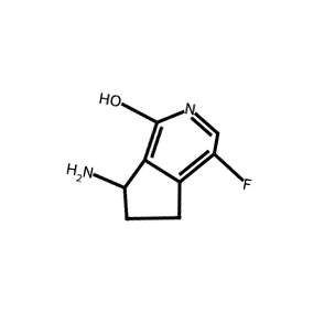 NC1CCc2c(F)cnc(O)c21